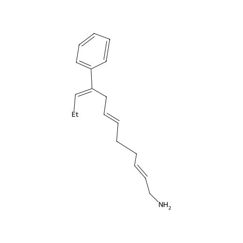 CCC=C(CC=CCCC=CCN)c1ccccc1